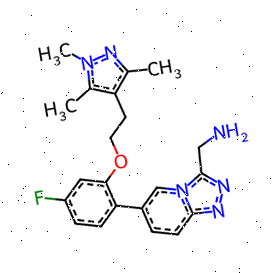 Cc1nn(C)c(C)c1CCOc1cc(F)ccc1-c1ccc2nnc(CN)n2c1